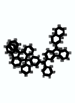 c1ccc(N(c2ccc(C3(c4ccccc4)c4ccccc4C4(c5ccccc5)c5ccccc5-c5cccc3c54)cc2)c2ccc3c(c2)c2ccccc2n3-c2ccc3ccccc3c2)cc1